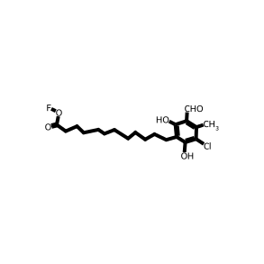 Cc1c(Cl)c(O)c(CCCCCCCCCCCC(=O)OF)c(O)c1C=O